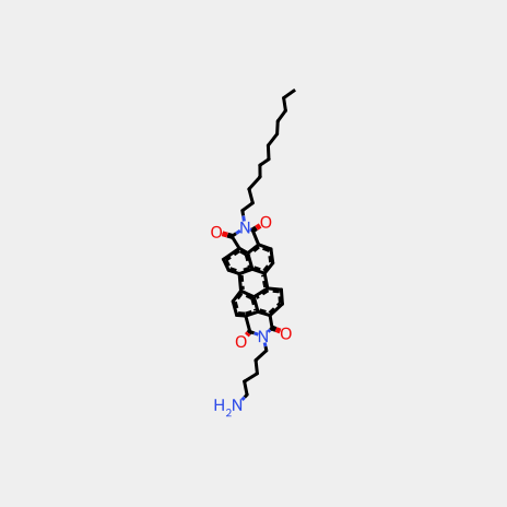 CCCCCCCCCCCCN1C(=O)c2ccc3c4ccc5c6c(ccc(c7ccc(c2c37)C1=O)c64)C(=O)N(CCCCCN)C5=O